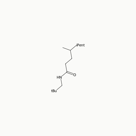 CCCC(C)C(C)CCC(=O)NCC(C)(C)C